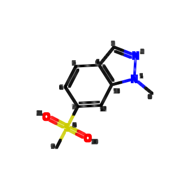 Cn1ncc2ccc(S(C)(=O)=O)cc21